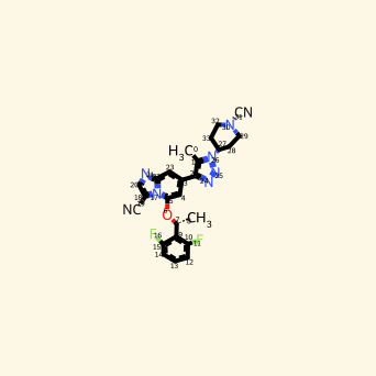 Cc1c(-c2cc(O[C@H](C)c3c(F)cccc3F)n3c(C#N)cnc3c2)nnn1C1CCN(C#N)CC1